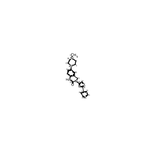 CN1CCN(c2ccc3c(c2)CN(c2csc(-c4ccncc4)n2)C(=O)N3)CC1